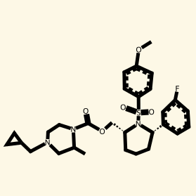 COc1ccc(S(=O)(=O)N2[C@@H](COC(=O)N3CCN(CC4CC4)CC3C)CCC[C@H]2c2cccc(F)c2)cc1